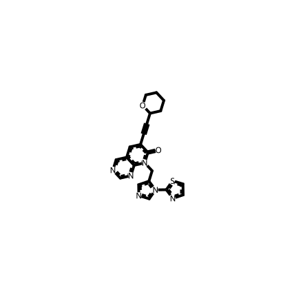 O=c1c(C#CC2CCCCO2)cc2cncnc2n1Cc1cncn1-c1nccs1